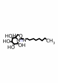 CCCCCCCC/N=C1\OC[C@@H]2[C@@H](O)[C@H](O)[C@@H](O)[C@H](O)N12